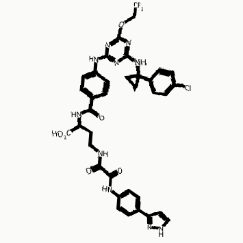 O=C(NCCC(NC(=O)c1ccc(Nc2nc(NC3(c4ccc(Cl)cc4)CC3)nc(OCC(F)(F)F)n2)cc1)C(=O)O)C(=O)Nc1ccc(-c2cc[nH]n2)cc1